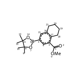 COC(=O)c1cc(B2OC(C)(C)C(C)(C)O2)cc2c1CCCC2